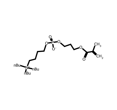 C=C(C)C(=O)OCCCOP(=O)([O-])OCCCC[N+](CCCC)(CCCC)CCCC